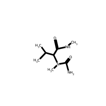 CNC(=O)C(C(C)C)N(C)C(N)=O